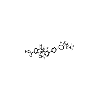 COc1cc(C(=O)O)ccc1NS(=O)(=O)c1cccc(-c2ccc([C@H]3CC[C@@H](C(C)(C)C)CC3)cc2)c1F